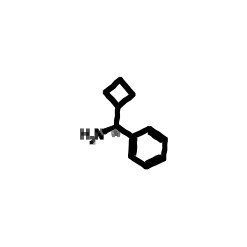 N[C@H](c1ccccc1)C1CCC1